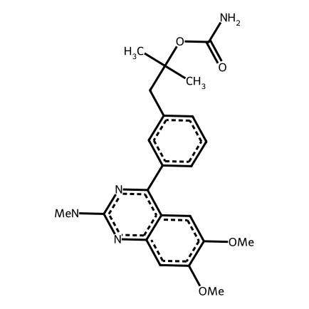 CNc1nc(-c2cccc(CC(C)(C)OC(N)=O)c2)c2cc(OC)c(OC)cc2n1